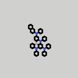 c1ccc(N(c2ccccc2)c2cc3c4c(c2)N(c2ccccc2)c2cc(N(c5ccccc5)c5ccc6ccccc6c5)ccc2B4c2ccccc2N3c2ccccc2)cc1